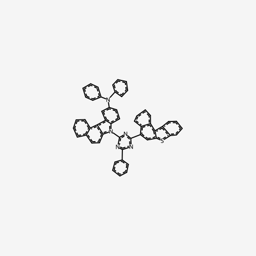 c1ccc(-c2nc(-c3cc4sc5ccccc5c4c4ccccc34)nc(-n3c4ccc(N(c5ccccc5)c5ccccc5)cc4c4c5ccccc5ccc43)n2)cc1